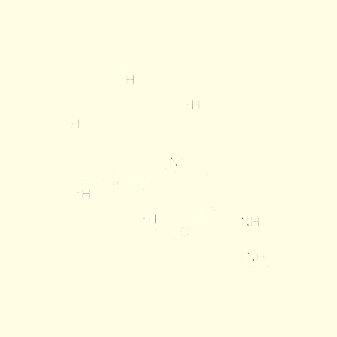 [2H]c1c([2H])c([2H])[n+](CC(=O)NN)c([2H])c1[2H]